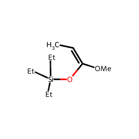 CC=C(OC)O[Si](CC)(CC)CC